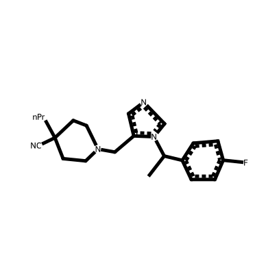 CCCC1(C#N)CCN(Cc2cncn2C(C)c2ccc(F)cc2)CC1